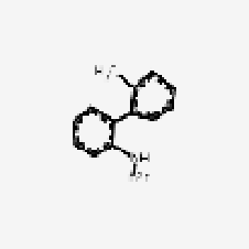 CCCNc1ccccc1-c1ccccc1C